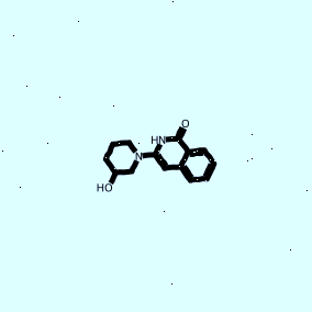 O=c1[nH]c(N2CCCC(O)C2)cc2ccccc12